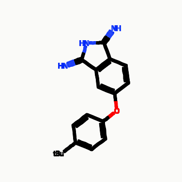 CC(C)(C)c1ccc(Oc2ccc3c(c2)C(=N)NC3=N)cc1